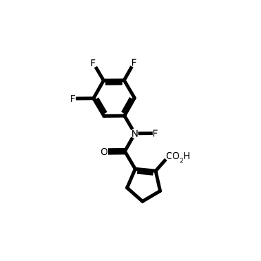 O=C(O)C1=C(C(=O)N(F)c2cc(F)c(F)c(F)c2)CCC1